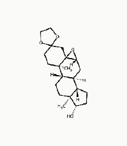 C[C@]12CC[C@H]3[C@@H](C[C@H]4O[C@]45CC4(CC[C@]35C)OCCO4)[C@@H]1CC[C@@H]2O